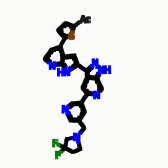 CC(=O)c1ccc(-c2ccnc3[nH]c(-c4n[nH]c5cnc(-c6cncc(CN7CCC(F)(F)C7)c6)cc45)cc23)s1